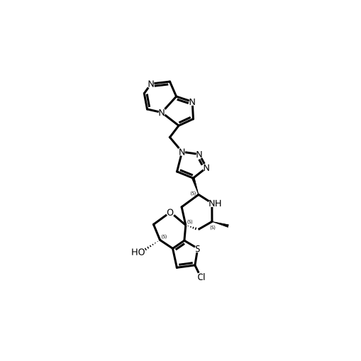 C[C@H]1C[C@@]2(C[C@@H](c3cn(Cc4cnc5cnccn45)nn3)N1)OC[C@@H](O)c1cc(Cl)sc12